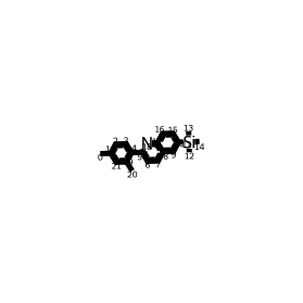 Cc1ccc(-c2ccc3cc([Si](C)(C)C)ccc3n2)c(C)c1